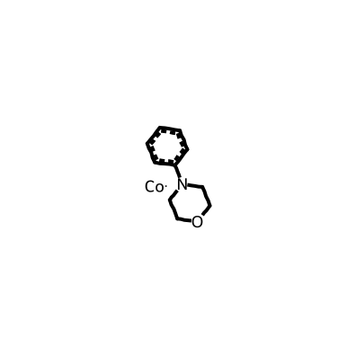 [Co].c1ccc(N2CCOCC2)cc1